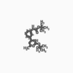 COCC(NC(=O)OC(C)(C)C)c1cncc(NC(=O)OC(C)(C)C)c1